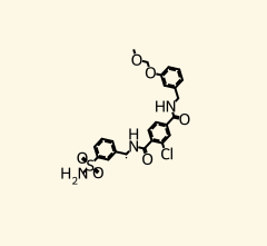 COCOc1cccc(CNC(=O)c2ccc(C(=O)N[CH]c3cccc(S(N)(=O)=O)c3)c(Cl)c2)c1